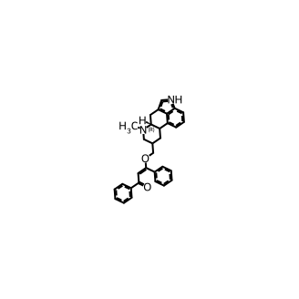 CN1CC(COC(=CC(=O)c2ccccc2)c2ccccc2)CC2c3cccc4[nH]cc(c34)C[C@H]21